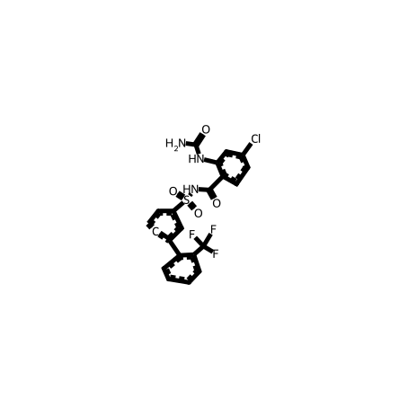 NC(=O)Nc1cc(Cl)ccc1C(=O)NS(=O)(=O)c1cccc(-c2ccccc2C(F)(F)F)c1